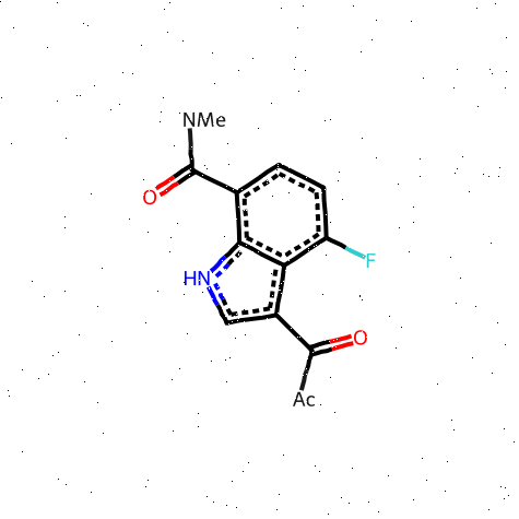 CNC(=O)c1ccc(F)c2c(C(=O)C(C)=O)c[nH]c12